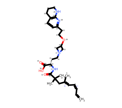 C=C/C=C\C=C(/C)CC(C)(C)C(=O)N[C@@H](CCN1CC(OCCc2ccc3c(n2)NCCC3)C1)C(=O)O